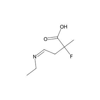 CC/N=C\CC(C)(F)C(=O)O